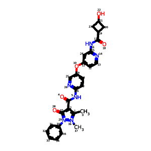 Cc1c(C(=O)Nc2ccc(Oc3ccnc(NC(=O)C4CC(O)C4)c3)cn2)c(=O)n(-c2ccccc2)n1C